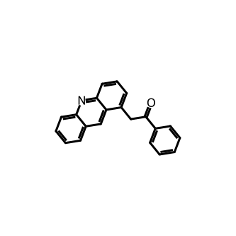 O=C(Cc1cccc2nc3ccccc3cc12)c1ccccc1